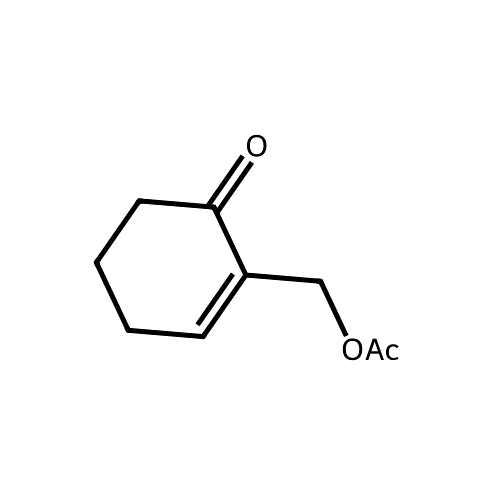 CC(=O)OCC1=CCCCC1=O